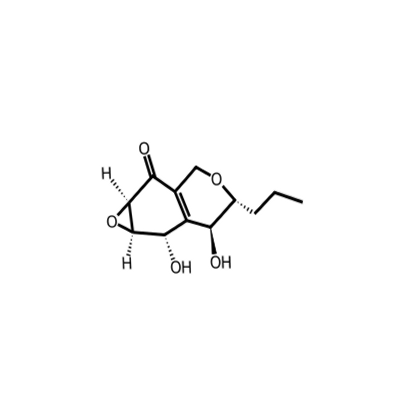 CCC[C@H]1OCC2=C([C@H](O)[C@H]3O[C@H]3C2=O)[C@@H]1O